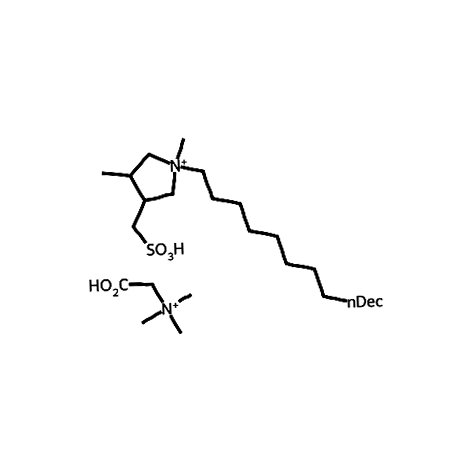 CCCCCCCCCCCCCCCCCC[N+]1(C)CC(C)C(CS(=O)(=O)O)C1.C[N+](C)(C)CC(=O)O